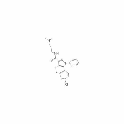 CN(C)CCCNC(=O)c1nn(-c2ccccc2)c2c1CCc1cc(Cl)ccc1-2